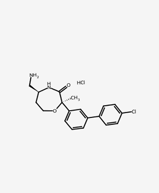 C[C@]1(c2cccc(-c3ccc(Cl)cc3)c2)OCC[C@@H](CN)NC1=O.Cl